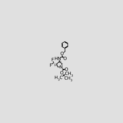 CC(C)(C)OC(=O)N1C[C@H](NC(=O)OCc2ccccc2)[C@@H](C(F)F)C1